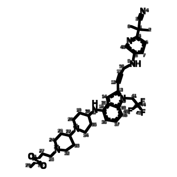 CC(C)(C#N)c1ccc(NCC#Cc2cc3c(NC4CCN(C5CCN(CCS(C)(=O)=O)CC5)CC4)cccc3n2CC(F)(F)F)cn1